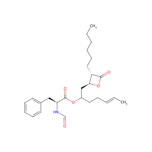 CC=CCCC(C[C@@H]1OC(=O)[C@H]1CCCCCC)OC(=O)[C@H](Cc1ccccc1)NC=O